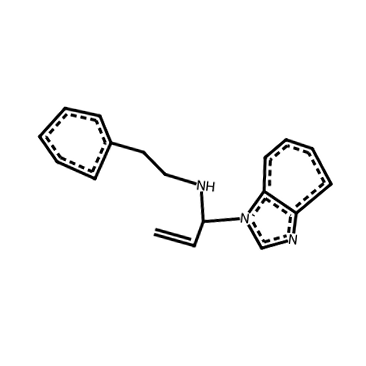 C=CC(NCCc1ccccc1)n1cnc2ccccc21